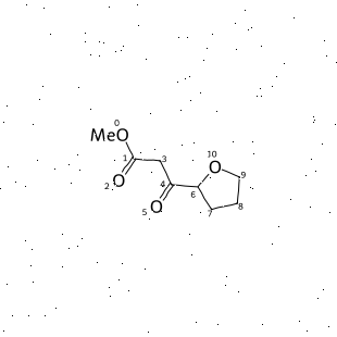 COC(=O)CC(=O)C1CCCO1